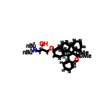 CCCCN(CCCC)C[C@H](O)COc1ccc([C@@H]2c3ccccc3OC(OC)(OC)C2(c2ccccc2)c2ccccc2)cc1